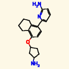 Nc1cccc(-c2ccc(OC3CCC(N)C3)c3c2CCCC3)n1